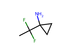 CC(F)(F)C1(N)CC1